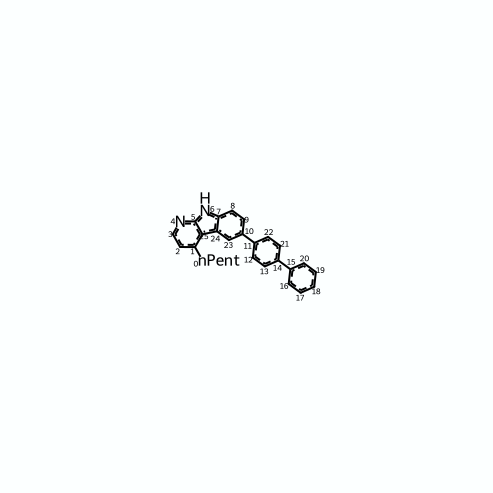 CCCCCc1ccnc2[nH]c3ccc(-c4ccc(-c5ccccc5)cc4)cc3c12